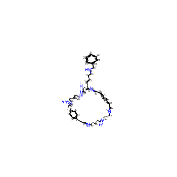 C1=N/CCNCC/N=C/c2ccc(cc2)CNCCNCC(CCCCNCc2ccccc2)/N=C/c2ccc/1cc2